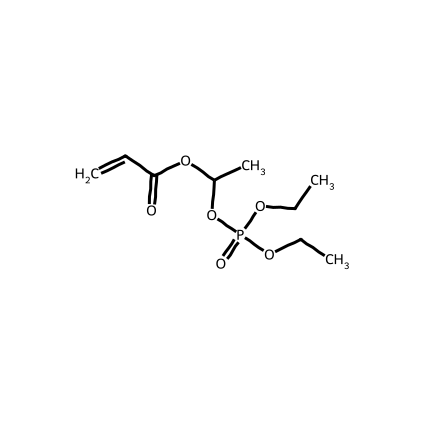 C=CC(=O)OC(C)OP(=O)(OCC)OCC